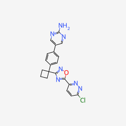 Nc1ncc(-c2ccc(C3(c4noc(-c5ccc(Cl)nn5)n4)CCC3)cc2)cn1